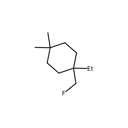 CCC1(CF)CCC(C)(C)CC1